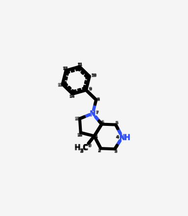 CC12CCNCC1N(Cc1ccccc1)CC2